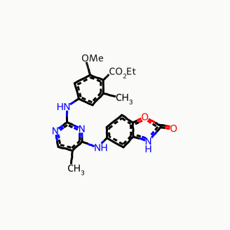 CCOC(=O)c1c(C)cc(Nc2ncc(C)c(Nc3ccc4oc(=O)[nH]c4c3)n2)cc1OC